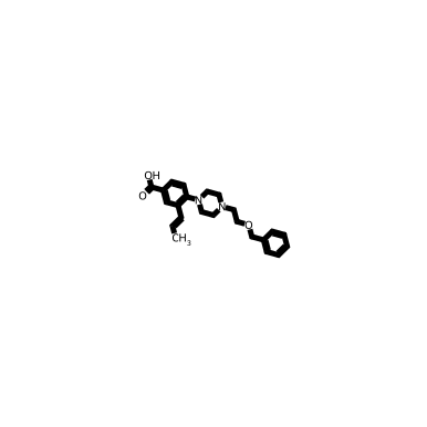 CC=Cc1cc(C(=O)O)ccc1N1CCN(CCOCc2ccccc2)CC1